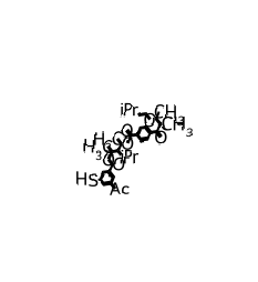 CC(=O)c1cc(S)cc(C(=O)OC(C)C(C(C)C)C(C)OC(=O)c2ccc(C(=O)C(C)C(C)OCCC(C)C)cc2)c1